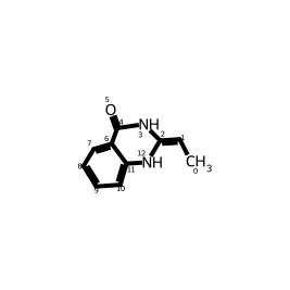 CC=C1NC(=O)c2ccccc2N1